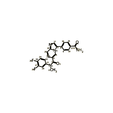 CN(C(=O)c1cn2c(-c3ccc(C(N)=O)cc3)cnc2cn1)c1ccc(F)c(F)c1